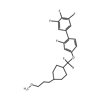 COCCCC1CCC(C(F)(F)Oc2ccc(-c3cc(F)c(F)c(F)c3)c(F)c2)CC1